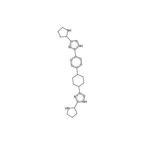 c1cc(C2CCC(c3c[nH]c(C4CCCN4)n3)CC2)ccc1-c1nc(C2CCCN2)c[nH]1